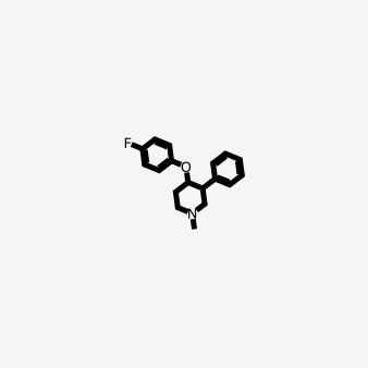 CN1CCC(Oc2ccc(F)cc2)C(c2ccccc2)C1